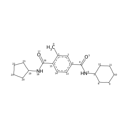 Cc1cc(C(=O)NC2CCCCC2)ccc1C(=O)NC1CCCC1